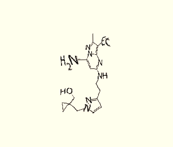 CCc1c(C)nn2c(N)cc(NCCc3ccn(CC4(CO)CC4)n3)nc12